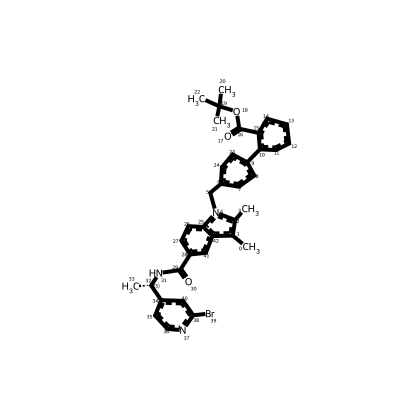 Cc1c(C)n(Cc2ccc(-c3ccccc3C(=O)OC(C)(C)C)cc2)c2ccc(C(=O)N[C@@H](C)c3ccnc(Br)c3)cc12